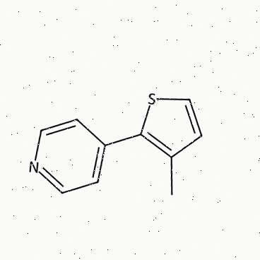 Cc1ccsc1-c1ccncc1